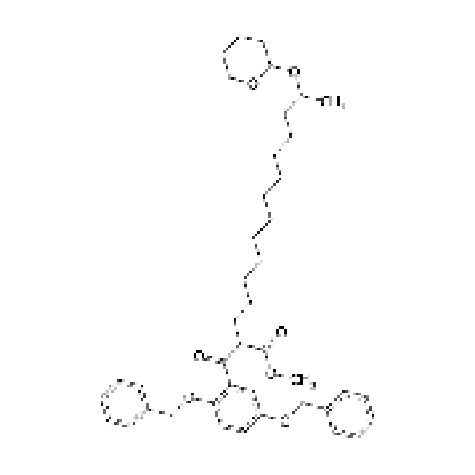 COC(=O)C(CCCCCCCCCCCC(C)OC1CCCCO1)C(=O)c1cc(OCc2ccccc2)ccc1OCc1ccccc1